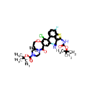 CC(C)(C)OC(=O)Nc1sc2c(F)ccc(-c3c(F)cc4c(c3Cl)OCC[C@H]3CN(C(=O)OC(C)(C)C)CCN3C4=O)c2c1C#N